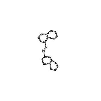 [c]1c(N=Nc2cccc3ccccc23)ccc2ccccc12